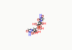 O=c1ccn([C@@H]2C[C@H](COP(=O)(O)O[C@@H]3[C@@H](CO)C[C@@H](n4ccc(=O)[nH]c4=O)[C@@H]3O)[C@@H](O)[C@H]2O)c(=O)[nH]1